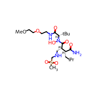 COCCOCCNC(=O)[C@@H](N(O)C(=O)[C@@H](CNCS(C)(=O)=O)[C@@H](CC(C)C)C(N)=O)C(C)(C)C